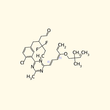 C=C/C(=C\C=C\c1nc(C)nc(-c2cc(CC(CC=O)C(F)(F)CC)ccc2Cl)n1)OCC(C)(C)CC